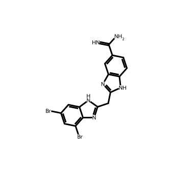 N=C(N)c1ccc2[nH]c(Cc3nc4c(Br)cc(Br)cc4[nH]3)nc2c1